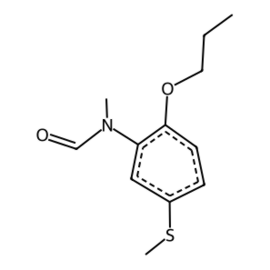 CCCOc1ccc(SC)cc1N(C)C=O